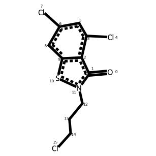 O=c1c2c(Cl)cc(Cl)cc2sn1CCCCl